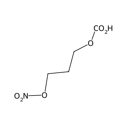 O=C(O)OCCCO[N+](=O)[O-]